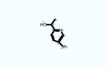 CC(C)c1ccc(C(C)O)nc1